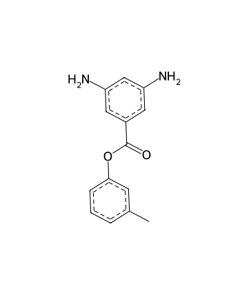 Cc1cccc(OC(=O)c2cc(N)cc(N)c2)c1